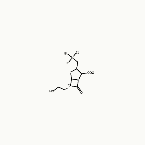 CC[N+](CC)(CC)CC1SC2[C@@H](CCO)C(=O)N2C1C(=O)[O-]